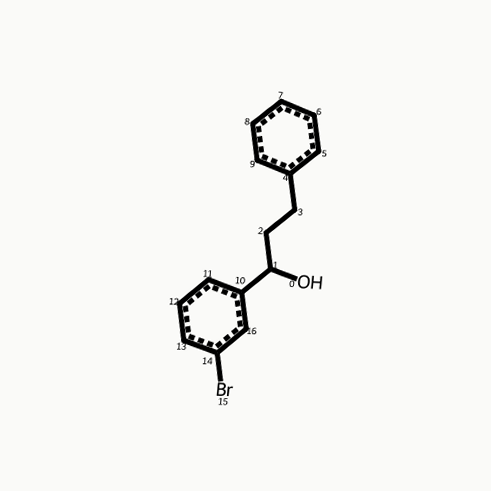 OC(CCc1ccccc1)c1cccc(Br)c1